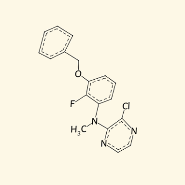 CN(c1cccc(OCc2ccccc2)c1F)c1nccnc1Cl